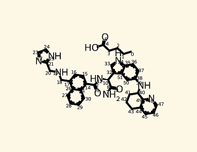 CCCCC(=O)O.NC(=O)[C@@H](NC(=O)c1ccc(CNCc2ncc[nH]2)c2ccccc12)c1c[nH]c2ccc(NC3CCCc4cccnc43)cc12